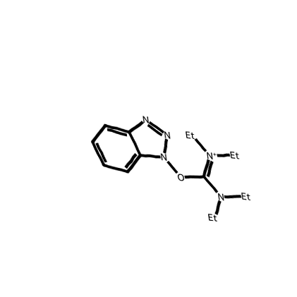 CCN(CC)C(On1nnc2ccccc21)=[N+](CC)CC